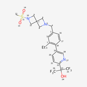 CCc1cc(CN2CC3(C2)CN(S(C)(=O)=O)C3)ccc1-c1ccc(C(O)(C(F)(F)F)C(F)(F)F)nc1